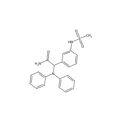 CS(=O)(=O)Nc1cccc(C(C(N)=O)N(c2ccccc2)c2ccccc2)c1